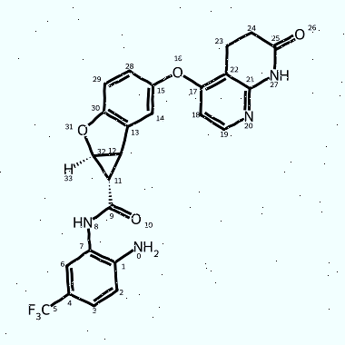 Nc1ccc(C(F)(F)F)cc1NC(=O)[C@H]1C2c3cc(Oc4ccnc5c4CCC(=O)N5)ccc3O[C@@H]21